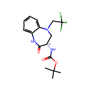 CC(C)(C)OC(=O)N[C@H]1CN(CC(F)(F)F)c2ccccc2NC1=O